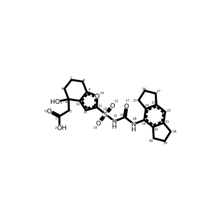 O=C(O)CC1(O)CCCc2oc(S(=O)(=O)NC(=O)Nc3c4c(cc5c3CCC5)CCC4)cc21